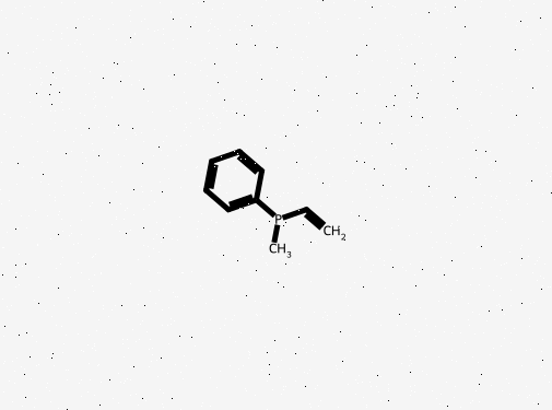 C=CP(C)c1ccccc1